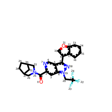 O=C(c1cc2c(cn1)c(-c1coc3ccccc13)nn2CC(F)(F)F)N1CC2CCC(C2)C1